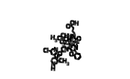 C[C@H]1CNCC[C@]1(F)c1cc(Cl)cnc1O[C@H]1C[C@@H](C(=O)OC(C)(C)C)N(c2nc(C(F)(F)C(=O)NCCCC(=O)O)nc3c2oc2ccccc23)C1